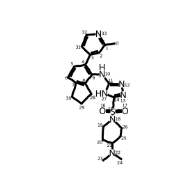 Cc1cc(-c2ccc3c(c2Nc2nnc(S(=O)(=O)N4CCC(N(C)C)CC4)[nH]2)CCC3)ccn1